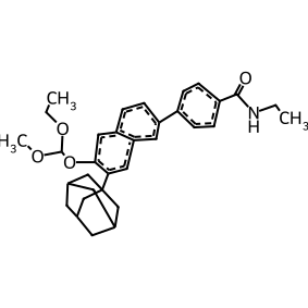 CCNC(=O)c1ccc(-c2ccc3cc(OC(OC)OCC)c(C45CC6CC(CC(C6)C4)C5)cc3c2)cc1